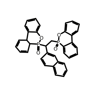 O=P1(CC(c2ccc3ccccc3c2)P2(=O)Oc3ccccc3C3C=CC=CC32)Oc2ccccc2-c2ccccc21